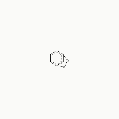 c1cc2cc(c1)OO2